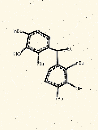 CCCCc1ccc(C(CC)c2ccc(CCCC)c(O)c2CCCC)c(CCCC)c1O